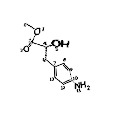 COC(=O)C(O)Cc1ccc(N)cc1